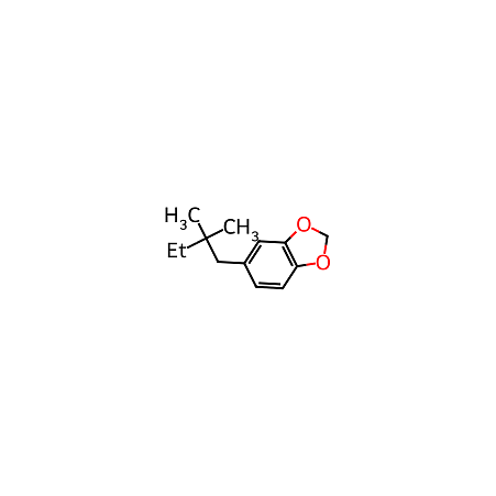 CCC(C)(C)Cc1ccc2c(c1)OCO2